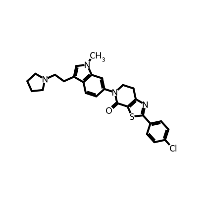 Cn1cc(CCN2CCCC2)c2ccc(N3CCc4nc(-c5ccc(Cl)cc5)sc4C3=O)cc21